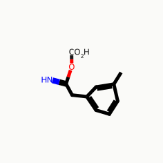 Cc1cccc(CC(=N)OC(=O)O)c1